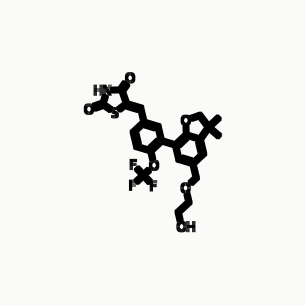 CC1(C)COc2c(-c3cc(/C=C4\SC(=O)NC4=O)ccc3OC(F)(F)F)cc(COCCO)cc21